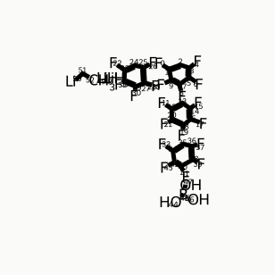 Fc1cc(F)c(F)c(F)c1F.Fc1cc(F)c(F)c(F)c1F.Fc1cc(F)c(F)c(F)c1F.Fc1cc(F)c(F)c(F)c1F.OB(O)O.[LiH].[LiH].[Li][CH2]C